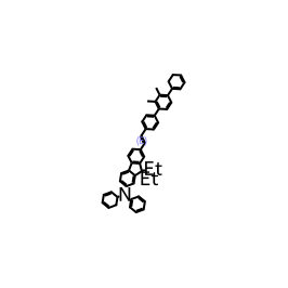 CCC1(CC)c2cc(/C=C/c3ccc(-c4ccc(C5=CC=CCC5)c(C)c4C)cc3)ccc2-c2ccc(N(c3ccccc3)C3C=CC=CC3)cc21